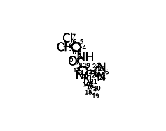 O=C(Nc1ccc(Cl)c(Cl)c1)c1cnc(N2CC3(CCC3)C2)c(-c2cncnc2)c1